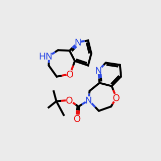 CC(C)(C)OC(=O)N1CCOc2cccnc2C1.c1cnc2c(c1)OCCNC2